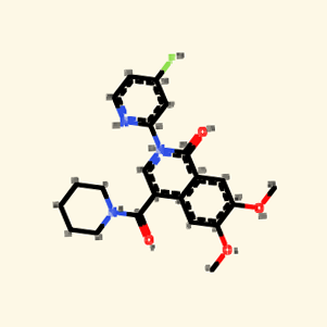 COc1cc2c(C(=O)N3CCCCC3)cn(-c3cc(F)ccn3)c(=O)c2cc1OC